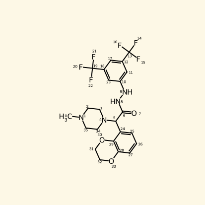 CN1CCN(C(C(=O)NNc2cc(C(F)(F)F)cc(C(F)(F)F)c2)c2cccc3c2OCCO3)CC1